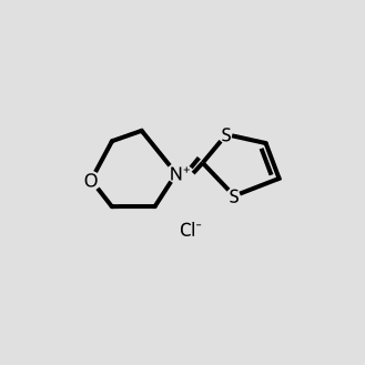 [Cl-].c1csc(=[N+]2CCOCC2)s1